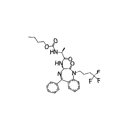 CCCCOC(=O)N[C@@H](C)C(=O)N[C@@H]1N=C(c2ccccc2)c2ccccc2N(CCCC(F)(F)F)C1=O